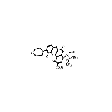 CCc1cc2c(cc1Cc1ccc(N3CCOCC3)c(Cl)c1F)c(=O)c(C(=O)O)cn2[C@H](CO)[C@H](C)OC